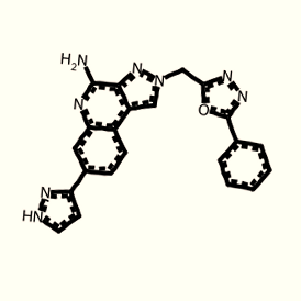 Nc1nc2cc(-c3cc[nH]n3)ccc2c2cn(Cc3nnc(-c4ccccc4)o3)nc12